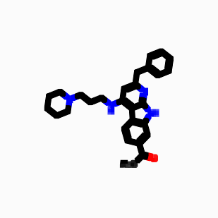 COC(=O)c1ccc2c(c1)[nH]c1nc(Cc3ccccc3)cc(NCCCN3CCCCC3)c12